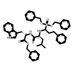 CC(C)C[C@H](NC(CCc1ccccc1)P(=O)(OCc1ccccc1)OCc1ccccc1)C(=O)N[C@@H](Cc1c[nH]c2ccccc12)C(=O)OCc1ccccc1